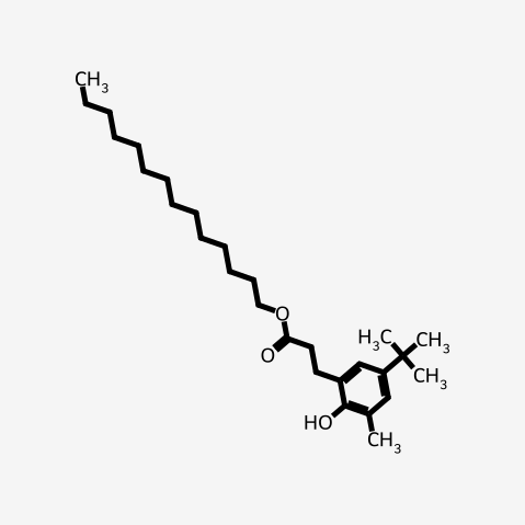 CCCCCCCCCCCCCCOC(=O)CCc1cc(C(C)(C)C)cc(C)c1O